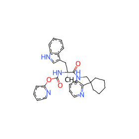 C[C@@](Cc1c[nH]c2ccccc12)(NC(=O)Oc1ccccn1)C(=O)NCC1(c2ccccn2)CCCCC1